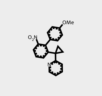 COc1ccc(-c2c([N+](=O)[O-])cccc2C2(c3ccccn3)CC2)cc1